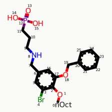 CCCCCCCCOc1c(Br)cc(CNCCCP(=O)(O)O)cc1OCc1ccccc1